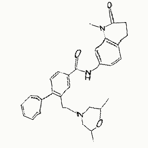 CC1CN(Cc2cc(C(=O)Nc3ccc4c(c3)N(C)C(=O)CC4)ccc2-c2ccccc2)CC(C)O1